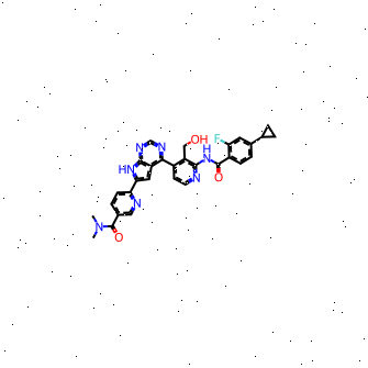 CN(C)C(=O)c1ccc(-c2cc3c(-c4ccnc(NC(=O)c5ccc(C6CC6)cc5F)c4CO)ncnc3[nH]2)nc1